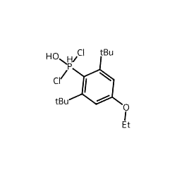 CCOc1cc(C(C)(C)C)c([PH](O)(Cl)Cl)c(C(C)(C)C)c1